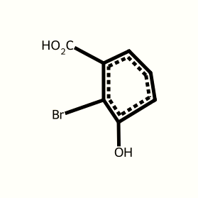 O=C(O)c1cccc(O)c1Br